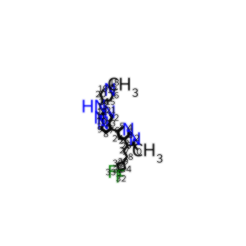 CC1=Nc2ncc(-c3ccn4nc(NC5CCN(C)CC5)ncc34)cc2C1CCC1CC(F)(F)C1